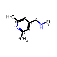 CCNCc1cc(C)nc(C)c1